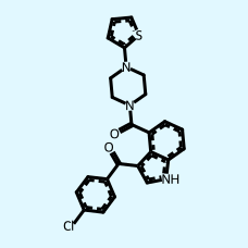 O=C(c1ccc(Cl)cc1)c1c[nH]c2cccc(C(=O)N3CCN(c4cccs4)CC3)c12